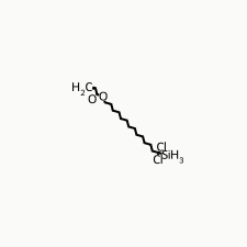 C=CC(=O)OCCCCCCCCCCCCCC([SiH3])(Cl)Cl